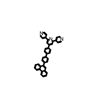 c1ccc2c(c1)cc(-c1ccc(-c3ccc(-c4cc(-c5ccncc5)nc(-c5ccncc5)c4)cc3)cc1)c1ccccc12